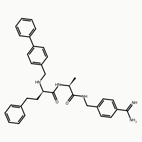 C[C@H](NC(=O)[C@@H](CCc1ccccc1)NCc1ccc(-c2ccccc2)cc1)C(=O)NCc1ccc(C(=N)N)cc1